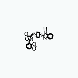 O=C1OC(c2cccc3c2OCO3)=NC1=CN1CCN(c2nc3ccccc3[nH]2)CC1